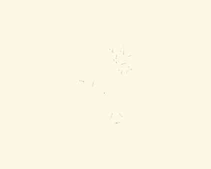 Nc1nc2c(ncn2CCOCP(=O)(OCc2cccc(F)c2)OCc2oc(=O)oc2C2CCC(F)(F)C2)c(=O)[nH]1